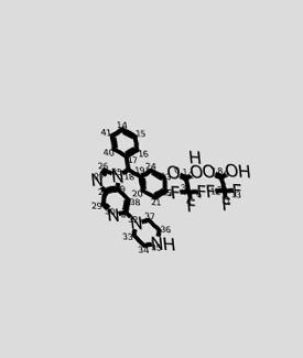 O=C(O)C(F)(F)F.O=C(O)C(F)(F)F.c1ccc(C(c2ccccc2)n2cnc3cnc(N4CCNCC4)cc32)cc1